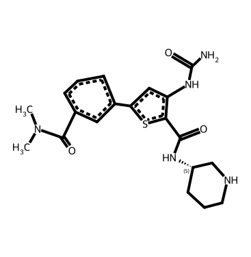 CN(C)C(=O)c1cccc(-c2cc(NC(N)=O)c(C(=O)N[C@H]3CCCNC3)s2)c1